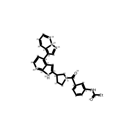 CCC(=O)Nc1cccc(C(=O)N2CCC(c3cc4c(-c5cnn6ncccc56)ccnc4[nH]3)C2)c1